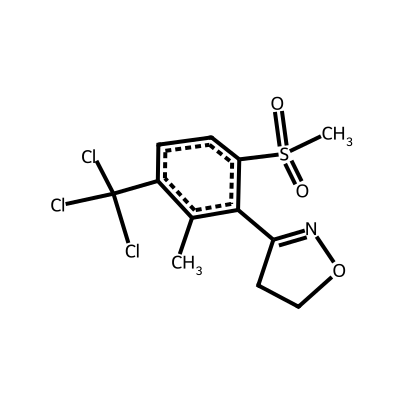 Cc1c(C(Cl)(Cl)Cl)ccc(S(C)(=O)=O)c1C1=NOCC1